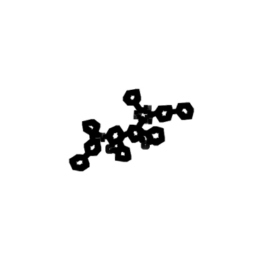 c1ccc(-c2ccc(-c3nc(-c4ccccc4)nc(-c4cc(-c5ccc(-n6c7ccccc7c7cc(-c8ccccc8)ccc76)c6oc7ccccc7c56)cc5oc6ccccc6c45)n3)cc2)cc1